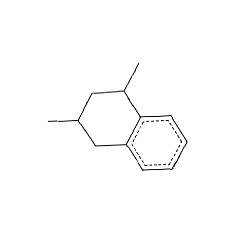 CC1Cc2ccccc2C(C)C1